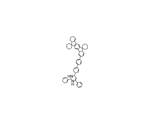 C1=CC(C2NC(c3ccccc3)=CC(C3C=CC(c4ccc(C5=CC6c7cc8c(cc7C7(CCCCC7)C6C=C5)C5=CCCCC5C85CCCCC5)cc4)=CC3)N2)=CCC1